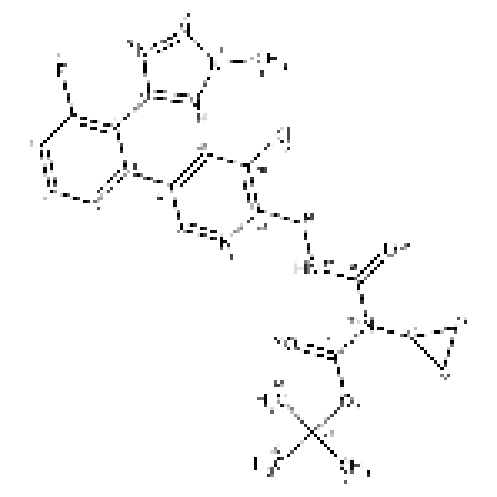 Cn1nnc(-c2c(F)cccc2-c2cnc(CNC(=O)N(C(=O)OC(C)(C)C)C3CC3)c(Cl)c2)n1